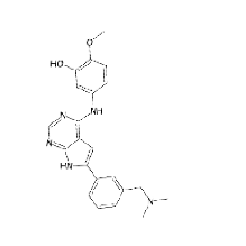 COc1ccc(Nc2ncnc3[nH]c(-c4cccc(CN(C)C)c4)cc23)cc1O